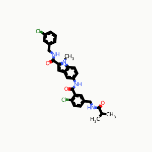 CC(C)C(=O)NCc1ccc(Cl)c(C(=O)Nc2ccc3c(c2)cc(C(=O)NCc2cccc(Cl)c2)n3C)c1